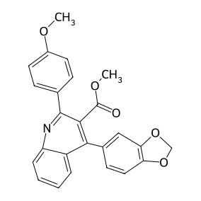 COC(=O)c1c(-c2ccc(OC)cc2)nc2ccccc2c1-c1ccc2c(c1)OCO2